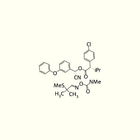 CC(C)[C@H](C(=O)O[C@H](C#N)c1cccc(Oc2ccccc2)c1)c1ccc(Cl)cc1.CNC(=O)O/N=C/C(C)(C)SC